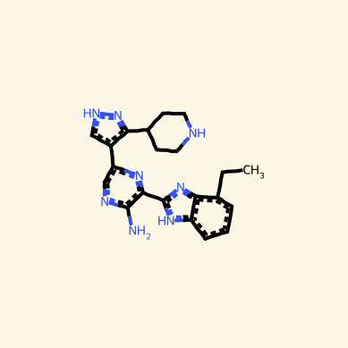 CCc1cccc2[nH]c(-c3nc(-c4c[nH]nc4C4CCNCC4)cnc3N)nc12